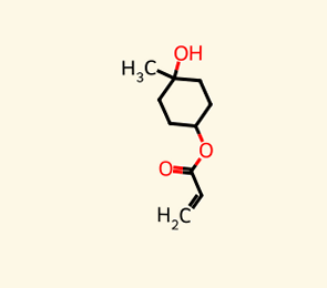 C=CC(=O)OC1CCC(C)(O)CC1